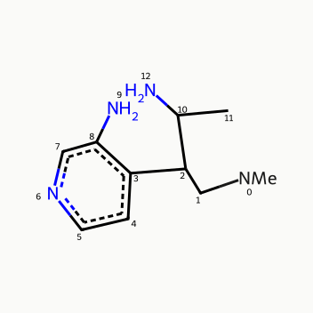 CNCC(c1ccncc1N)C(C)N